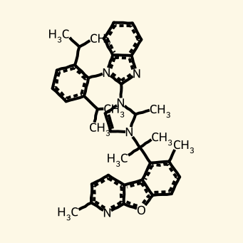 Cc1ccc2c(n1)oc1ccc(C)c(C(C)(C)N3C=CN(c4nc5ccccc5n4-c4c(C(C)C)cccc4C(C)C)C3C)c12